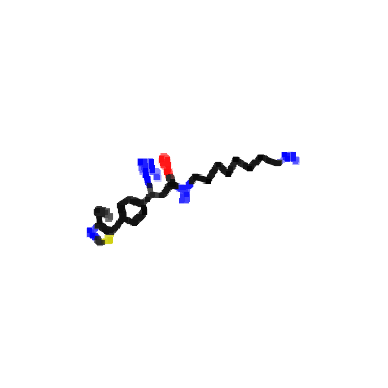 Cc1ncsc1-c1ccc([C@@H](N)CC(=O)NCCCCCCCCN)cc1